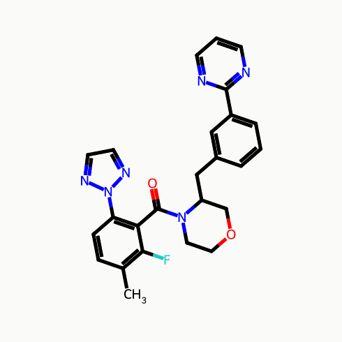 Cc1ccc(-n2nccn2)c(C(=O)N2CCOCC2Cc2cccc(-c3ncccn3)c2)c1F